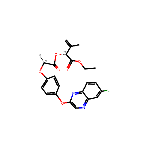 C=C(C)[C@@H](OC(=O)[C@@H](C)Oc1ccc(Oc2cnc3cc(Cl)ccc3n2)cc1)C(=O)OCC